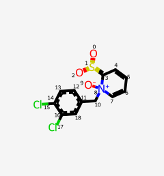 O=S(=O)=C1C=CC=C[N+]1([O-])Cc1ccc(Cl)c(Cl)c1